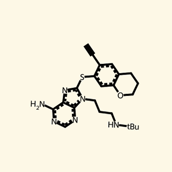 C#Cc1cc2c(cc1Sc1nc3c(N)ncnc3n1CCCNC(C)(C)C)OCCC2